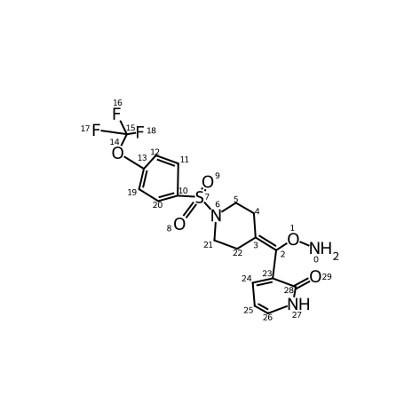 NOC(=C1CCN(S(=O)(=O)c2ccc(OC(F)(F)F)cc2)CC1)c1ccc[nH]c1=O